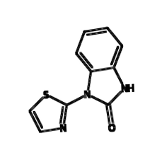 O=c1[nH]c2ccccc2n1-c1nccs1